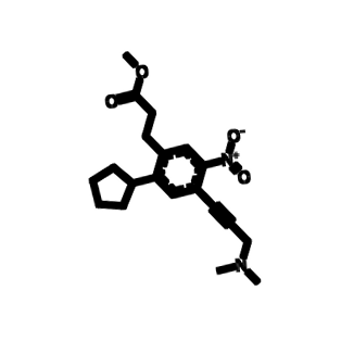 COC(=O)CCc1cc([N+](=O)[O-])c(C#CCN(C)C)cc1C1CCCC1